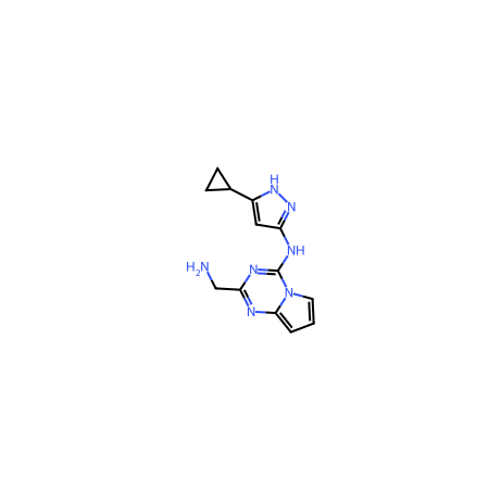 NCc1nc(Nc2cc(C3CC3)[nH]n2)n2cccc2n1